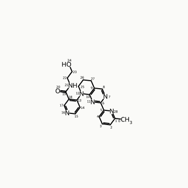 Cc1cccc(-c2ncc3c(n2)N(c2ccncc2C(=O)NCCO)CCC3)n1